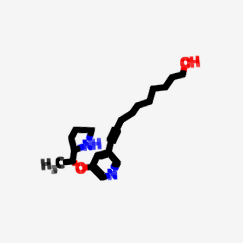 CC(Oc1cncc(C#CCCCCCCCCO)c1)C1CCCN1